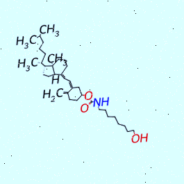 C=C1CC[C@H](OC(=O)NCCCCCCCCO)C/C1=C/C=C1\CCC[C@]2(C)[C@@H]([C@H](C)CCCC(C)C)CC[C@@H]12